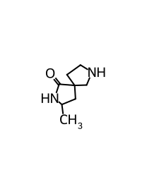 CC1CC2(CCNC2)C(=O)N1